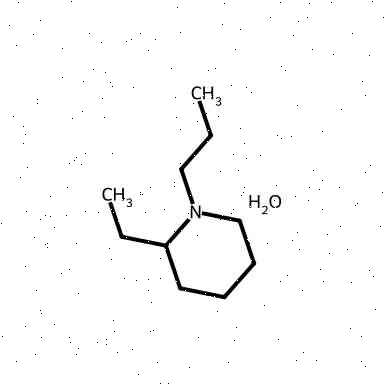 CCCN1CCCCC1CC.O